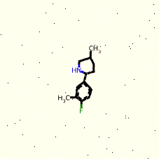 Cc1cc(C2CCC(C)CN2)ccc1F